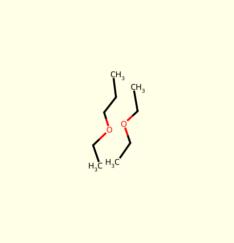 CCCOCC.CCOCC